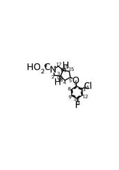 O=C(O)N1C[C@H]2CC(Oc3ccc(F)cc3Cl)C[C@H]2C1